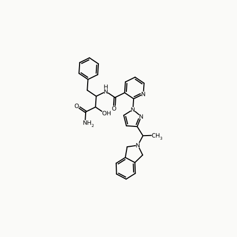 CC(c1ccn(-c2ncccc2C(=O)NC(Cc2ccccc2)C(O)C(N)=O)n1)N1Cc2ccccc2C1